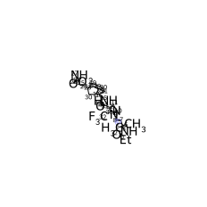 CCC(=O)NC(C)(C)/C=C/n1ncc(C(=O)N[C@H]2C3CC4CC2C[C@](COC(N)=O)(C4)C3)c1C(F)(F)F